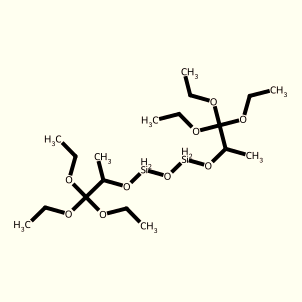 CCOC(OCC)(OCC)C(C)O[SiH2]O[SiH2]OC(C)C(OCC)(OCC)OCC